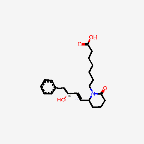 O=C(O)CCCCCCN1C(=O)CCCC1/C=C/[C@H](O)Cc1ccccc1